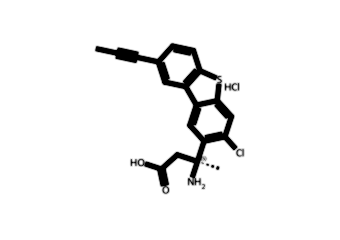 CC#Cc1ccc2sc3cc(Cl)c([C@@](C)(N)CC(=O)O)cc3c2c1.Cl